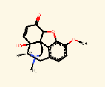 COc1ccc2c3c1OC1C(=O)C=CC4(O)[C@@H](C2)N(C)CCC314